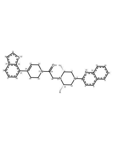 C[C@@H]1CN(c2ccc3ccccc3n2)C[C@H](C)N1CC(=O)N1CC=C(c2cccc3ccsc23)CC1